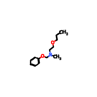 CCCOCCN(C)COc1ccccc1